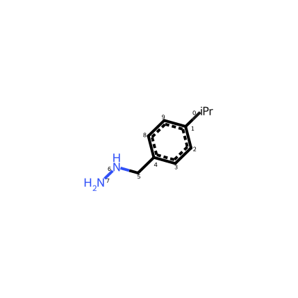 CC(C)c1ccc(CNN)cc1